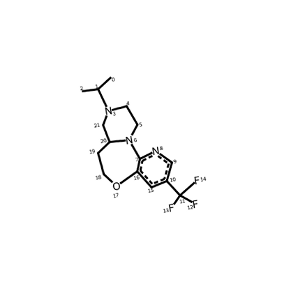 CC(C)N1CCN2c3ncc(C(F)(F)F)cc3OCCC2C1